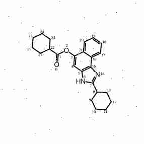 O=C(Oc1cc2[nH]c(C3CCCCC3)nc2c2ccccc12)C1CCCCC1